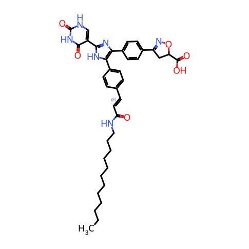 CCCCCCCCCCCCNC(=O)/C=C/c1ccc(-c2[nH]c(-c3c[nH]c(=O)[nH]c3=O)nc2-c2ccc(C3=NOC(C(=O)O)C3)cc2)cc1